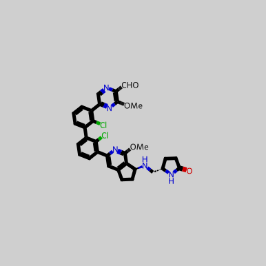 COc1nc(-c2cccc(-c3cccc(-c4cc5c(c(OC)n4)[C@@H](NC[C@@H]4CCC(=O)N4)CC5)c3Cl)c2Cl)cnc1C=O